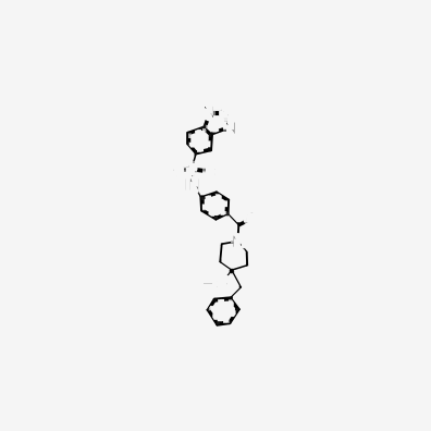 O=C(c1ccc(NS(=O)(=O)c2ccc3nsnc3c2)cc1)N1CCC(O)(Cc2ccccc2)CC1